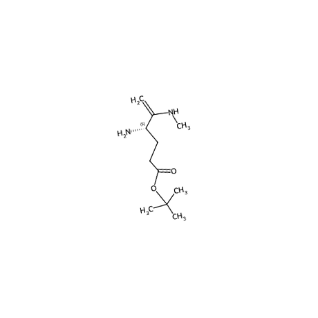 C=C(NC)[C@@H](N)CCC(=O)OC(C)(C)C